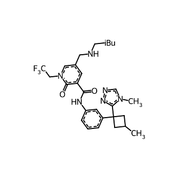 CCC(C)CNCc1cc(C(=O)Nc2cccc(C3(c4nncn4C)CC(C)C3)c2)c(=O)n(CC(F)(F)F)c1